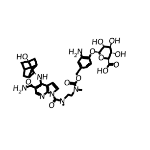 CN(CCN(C)C(=O)n1ccc2c(N[C@H]3C4CC5C[C@@]6(O)CC3C56C4)c(C(N)=O)cnc21)C(=O)OCc1ccc(O[C@@H]2O[C@H](C(=O)O)[C@@H](O)[C@H](O)[C@H]2O)c(N)c1